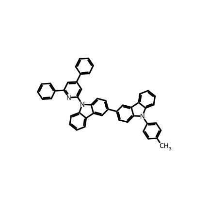 Cc1ccc(-n2c3ccccc3c3cc(-c4ccc5c(c4)c4ccccc4n5-c4cc(-c5ccccc5)cc(-c5ccccc5)n4)ccc32)cc1